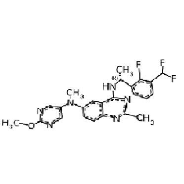 COc1ncc(N(C)c2ccc3nc(C)nc(N[C@H](C)c4cccc(C(F)F)c4F)c3c2)cn1